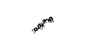 O=C(NCc1ncc(Cc2c[nH]c3ncccc23)s1)c1cccn(Cc2ccc(F)c(F)c2)c1=O